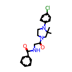 CC1(C)CN(C(=O)CNC(=O)c2ccccc2)CCN1c1ccc(Cl)cc1